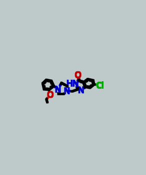 CCOc1ccccc1N1CCN(Cc2nc3cc(Cl)ccc3c(=O)[nH]2)CC1